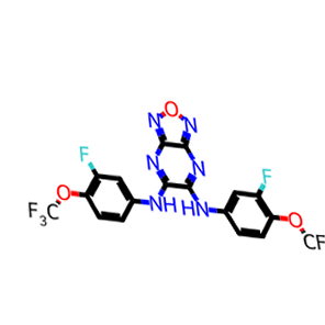 Fc1cc(Nc2nc3nonc3nc2Nc2ccc(OC(F)(F)F)c(F)c2)ccc1OC(F)(F)F